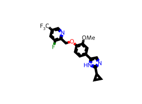 COc1cc(-c2cnc(C3CC3)[nH]2)ccc1OCc1ncc(C(F)(F)F)cc1F